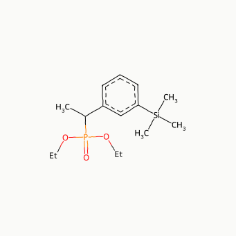 CCOP(=O)(OCC)C(C)c1cccc([Si](C)(C)C)c1